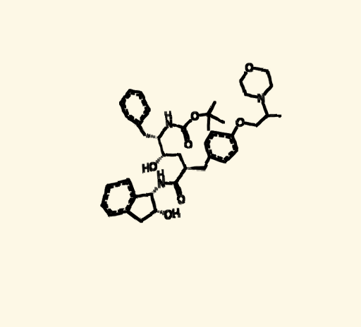 CC(COc1ccc(C[C@H](C[C@H](O)[C@H](Cc2ccccc2)NC(=O)OC(C)(C)C)C(=O)N[C@H]2c3ccccc3C[C@H]2O)cc1)N1CCOCC1